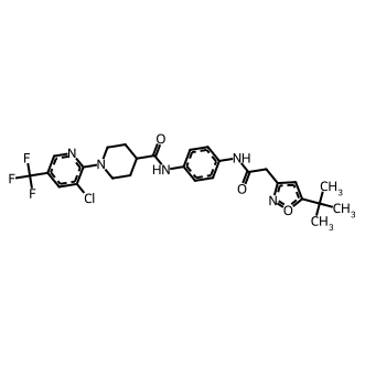 CC(C)(C)c1cc(CC(=O)Nc2ccc(NC(=O)C3CCN(c4ncc(C(F)(F)F)cc4Cl)CC3)cc2)no1